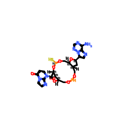 Nc1ncnn2c([C@H]3C[C@@H]4COPOC[C@H]5O[C@@H](n6ccc(=O)n7ccnc67)[C@H](O[P@@](S)OC[C@H]4O3)[C@@H]5O)cnc12